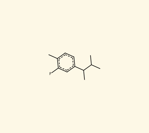 Cc1ccc(C(C)C(C)C)cc1F